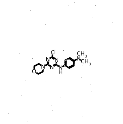 CN(C)c1ccc(Nc2nc(Cl)nc(N3CCOCC3)n2)cc1